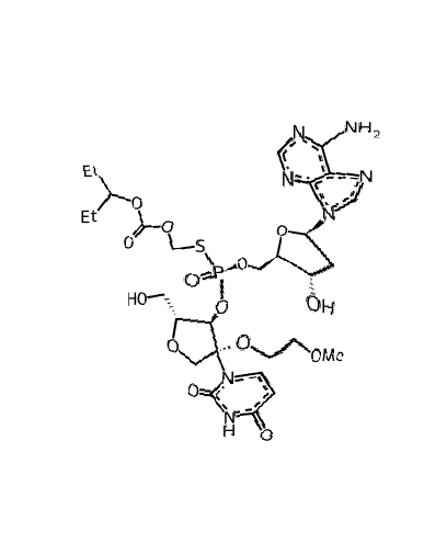 CCC(CC)OC(=O)OCS[P@](=O)(OC[C@H]1O[C@@H](n2cnc3c(N)ncnc32)C[C@@H]1O)O[C@@H]1[C@@H](CO)OC[C@]1(OCCOC)n1ccc(=O)[nH]c1=O